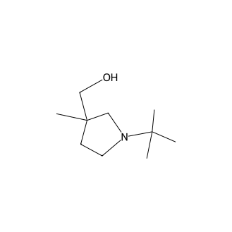 CC1(CO)CCN(C(C)(C)C)C1